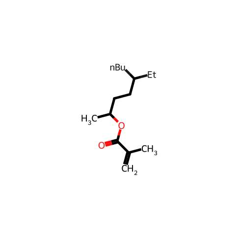 C=C(C)C(=O)OC(C)CCC(CC)CCCC